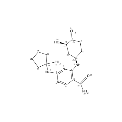 C[C@@H]1CC[C@@H](Nc2nc(NC3(C)CCCC3)ncc2C(N)=O)C[C@H]1O